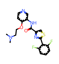 CN(C)CCOc1ccncc1NC(=O)c1csc(-c2c(F)cccc2F)n1